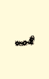 CCC(CCc1ccc(OCC2CCCCC2)cc1)N1CCOCC1